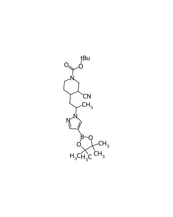 CC(CC1CCN(C(=O)OC(C)(C)C)CC1C#N)n1cc(B2OC(C)(C)C(C)(C)O2)cn1